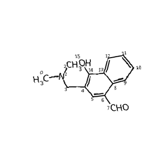 CN(C)Cc1cc(C=O)c2ccccc2c1O